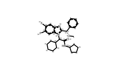 CO[C@@H](c1ccccc1)c1nc2cc(F)c(F)cc2n1C(C(=O)NC1CCCC1)C1CCCCC1